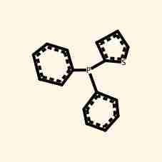 c1ccc(P(c2ccccc2)c2cccs2)cc1